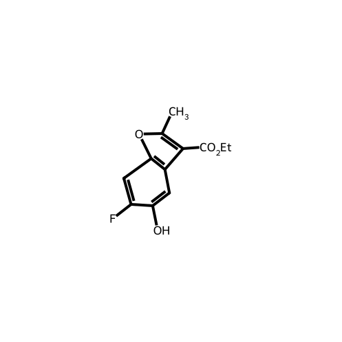 CCOC(=O)c1c(C)oc2cc(F)c(O)cc12